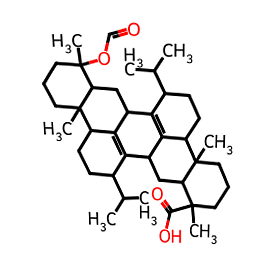 CC(C)C1CCC2C3=C1C1CC4C(C)(C(=O)O)CCCC4(C)C4CCC(C(C)C)C(=C14)C3CC1C(C)(OC=O)CCCC21C